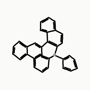 c1ccc(N(c2ccccc2)c2ccc3ccccc3c2-c2ccc3ccccc3c2)cc1